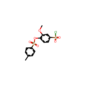 COc1cc(S(=O)(=O)Cl)ccc1OS(=O)(=O)c1ccc(C)cc1